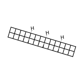 C1C2CC3C4C5[C@H]6C7C8[C@H]9C%10C%11[C@H]%12C%13C%14CC%15CC%16C%17C%18C%19C%20C%21C%22C%23C%24C%25C%26C1C23C%264C%255[C@]%246C%237C%228[C@]%219C%20%10C%19%11[C@]%18%12C%17%13C%15%16%14